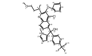 COCCN(C)c1nc2ccc(C(O)(c3ccc(C(F)(F)F)nc3)c3cncn3C)cc2c(Cl)c1Oc1ccccc1